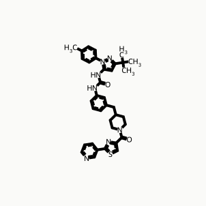 Cc1ccc(-n2nc(C(C)(C)C)cc2NC(=O)Nc2cccc(CC3CCN(C(=O)c4csc(-c5cccnc5)n4)CC3)c2)cc1